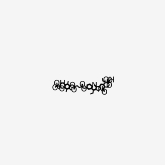 CCc1c2c(nc3ccc(OC(=O)CCC(=O)Oc4c(C)c(C)c5c(c4C)CC[C@@](C)(C(=O)O)O5)cc13)-c1cc3c(c(=O)n1C2)COC(=O)[C@]3(O)CC